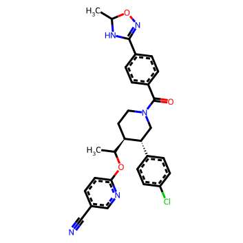 CC1NC(c2ccc(C(=O)N3CC[C@H](C(C)Oc4ccc(C#N)cn4)[C@@H](c4ccc(Cl)cc4)C3)cc2)=NO1